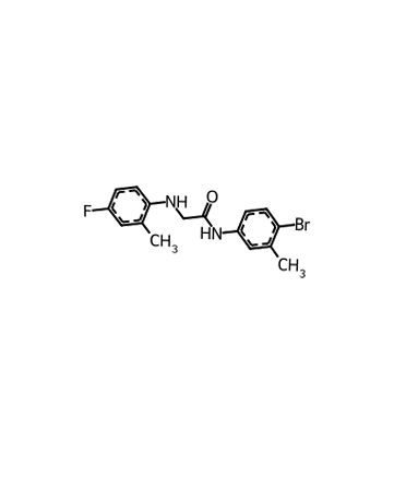 Cc1cc(NC(=O)CNc2ccc(F)cc2C)ccc1Br